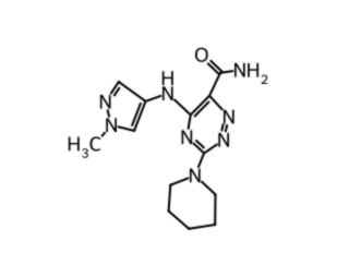 Cn1cc(Nc2nc(N3CCCCC3)nnc2C(N)=O)cn1